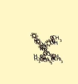 COC(=O)C[C@]1(O)CC[C@H](c2cc(N(COCC[Si](C)(C)C)COCC[Si](C)(C)C)n3ncc(-c4ccc(-c5ccccc5)nc4)c3n2)CC1